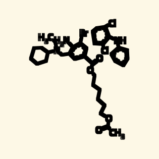 CCN(Cc1cc(C(=O)OCCCCCCOC(C)=O)cc(Br)c1N)C1CCCCC1.Clc1cccc(Cl)c1Nc1ccccc1